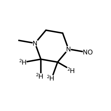 [2H]C1([2H])N(C)CCN(N=O)C1([2H])[2H]